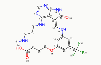 CNCCCNc1ncnc2c1/C(=C/Nc1cc(OCCCC(=O)O)cc(C(F)(F)F)c1)C(=O)N2